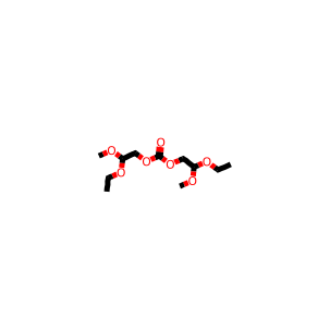 CCOC(COC(=O)OCC(OC)OCC)OC